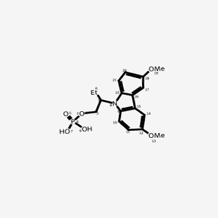 CCC(COP(=O)(O)O)n1c2ccc(OC)cc2c2cc(OC)ccc21